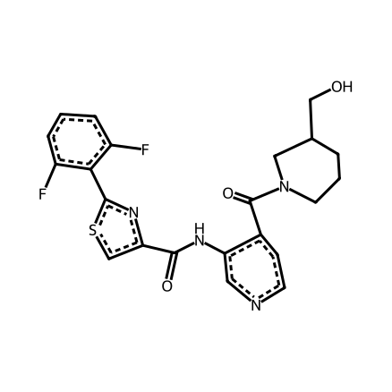 O=C(Nc1cnccc1C(=O)N1CCCC(CO)C1)c1csc(-c2c(F)cccc2F)n1